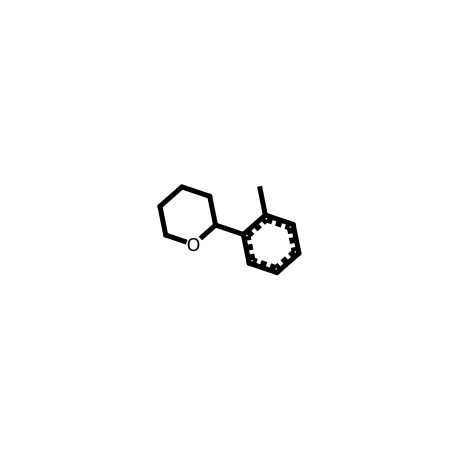 Cc1ccccc1C1CCCCO1